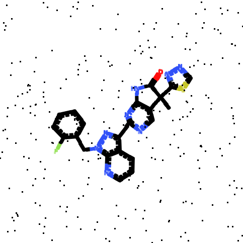 CC1(c2nncs2)C(=O)Nc2nc(-c3nn(Cc4ccccc4F)c4ncccc34)ncc21